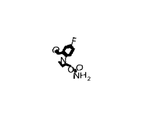 NC(=O)OCC1CCN1c1ccc(F)cc1C=O